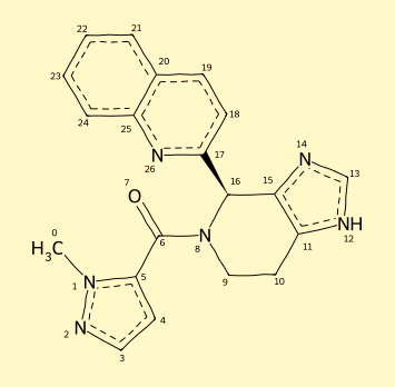 Cn1nccc1C(=O)N1CCc2[nH]cnc2[C@@H]1c1ccc2ccccc2n1